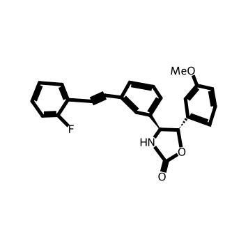 COc1cccc([C@@H]2OC(=O)N[C@H]2c2cccc(C#Cc3ccccc3F)c2)c1